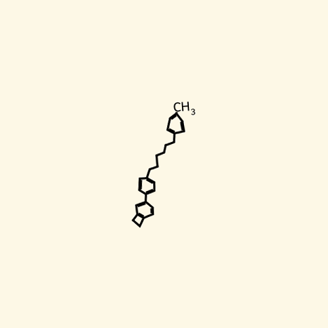 Cc1ccc(CCCCCCc2ccc(-c3ccc4c(c3)CC4)cc2)cc1